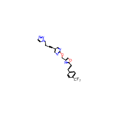 FC(F)(F)c1ccc(/C=C/c2nc(COc3ncc(C#CCCn4ccnn4)cn3)co2)cc1